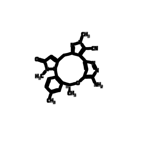 Cc1ccc2c(c1)[C@@H](C)Oc1cc(nnc1N)-c1c(nn(C)c1C#N)Cc1cc(=O)n(C)n1-2